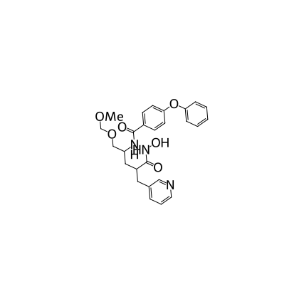 COCOCC(CC(Cc1cccnc1)C(=O)NO)NC(=O)c1ccc(Oc2ccccc2)cc1